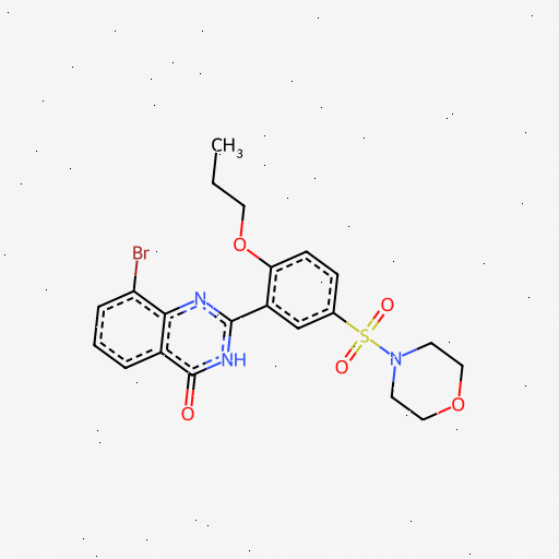 CCCOc1ccc(S(=O)(=O)N2CCOCC2)cc1-c1nc2c(Br)cccc2c(=O)[nH]1